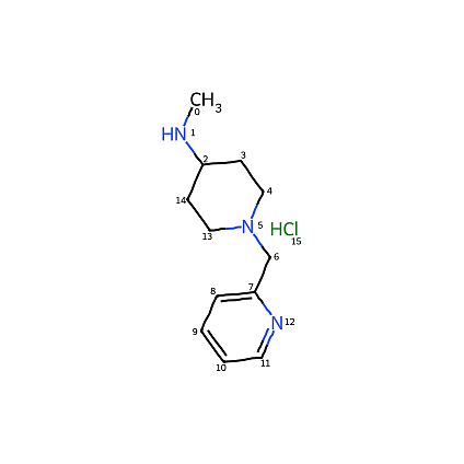 CNC1CCN(Cc2ccccn2)CC1.Cl